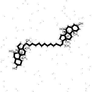 C[C@H](CCCCCCCCCCC[C@@H](C)[C@H]1CCC2[C@@H]3[C@@H](O)CC4C[C@H](O)CC[C@]4(C)[C@H]3CC[C@@]21C)[C@H]1CCC2[C@@H]3[C@@H](O)CC4C[C@H](O)CC[C@]4(C)[C@H]3CC[C@@]21C